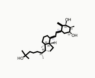 C=C1/C(=C/C=C2\CCC[C@]3(C)[C@@H]([C@H](C)CCCC(C)(C)O)CC[C@@H]23)C[C@H](O)[C@H](C)[C@@H]1O